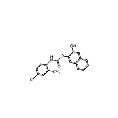 Cc1cc(Cl)ccc1NC(=O)Oc1cc2ccccc2cc1O